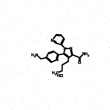 CCCCc1c(C(N)=O)nn(-c2cccnc2)c1-c1ccc(CN)cn1.Cl